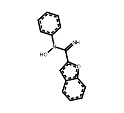 N=C(c1cc2ccccc2o1)N(O)c1ccccc1